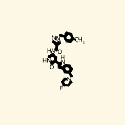 CC1C=CC(Cn2cc(C(=O)Nc3c[nH]c(=O)c(-c4cc5cc(CN6CCC(F)CC6)ccc5[nH]4)c3)cn2)=CC1